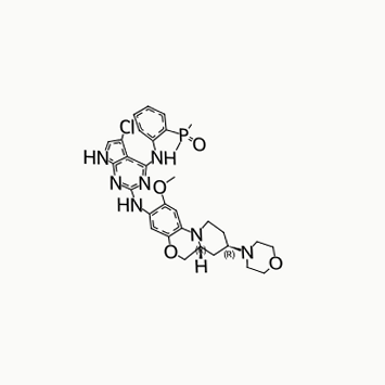 COc1cc2c(cc1Nc1nc(Nc3ccccc3P(C)(C)=O)c3c(Cl)c[nH]c3n1)OC[C@H]1C[C@H](N3CCOCC3)CCN21